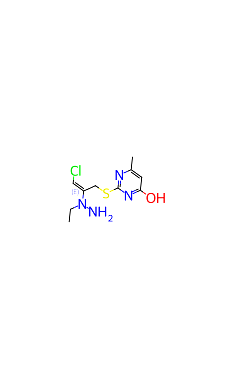 CCN(N)/C(=C/Cl)CSc1nc(C)cc(O)n1